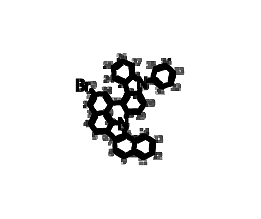 Brc1cc2ccc3c4ccc5ccccc5c4n4c5ccc6c(c7ccccc7n6-c6ccccc6)c5c(c1)c2c34